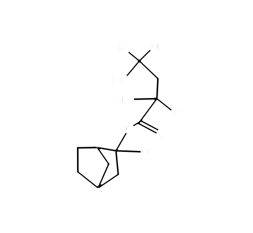 CCC(C)(CC(O)(C(F)(F)F)C(F)(F)F)C(=O)OC1(C)CC2CCC1C2